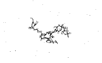 CC1(NC(=O)OC(C)(C)C)CCN(c2nc(O)c3cnn(COCC[Si](C)(C)C)c3n2)CC1